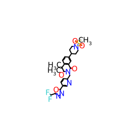 CC1(C)C(=O)N(Cc2ccc(-c3nnc(C(F)F)o3)cn2)C(=O)c2cc(C3CCN(S(C)(=O)=O)CC3)ccc21